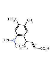 Cc1cc(C(C)/C=C/C(=O)O)c(N(C)N=O)cc1C(=O)O